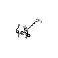 CCCCCCCCCCC[C@@H]1Cc2c([nH]c3ccccc23)[C@@H](c2ccc(N[C@H]3CCN(CCCF)C3)cn2)N1CC(F)(F)F